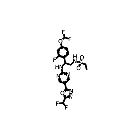 CCS(=O)(=O)NCC(Nc1ncc(-c2nnc(C(F)F)o2)cn1)c1ccc(OC(F)F)cc1F